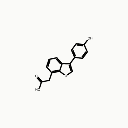 O=C(O)Cc1cccc2c(-c3ccc(O)cc3)coc12